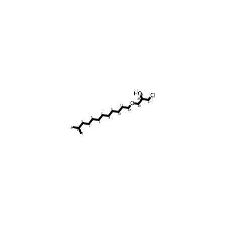 CC(C)CCCCCCCCCCOCC(O)CCl